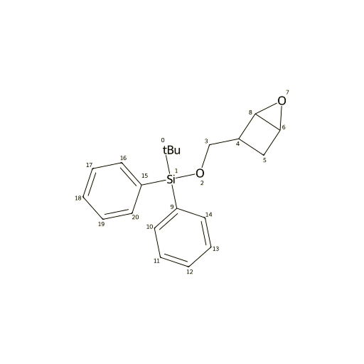 CC(C)(C)[Si](OCC1CC2OC12)(c1ccccc1)c1ccccc1